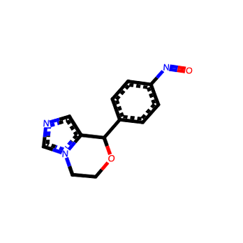 O=Nc1ccc(C2OCCn3cncc32)cc1